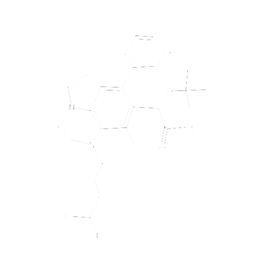 COC(=O)[C@@H](OC(C)(C)C)c1c(C)c2c3c(cc(C)n3CCN2CCOC(F)F)c1-c1ccc(C)cc1